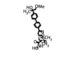 COCC(C)(O)c1ccc(-c2ccc(C3=NO[C@@H](C[C@](C)(C(=O)NO)S(C)(=O)=O)C3)cc2)cc1